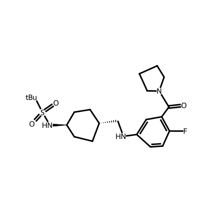 CC(C)(C)S(=O)(=O)N[C@H]1CC[C@H](CNc2ccc(F)c(C(=O)N3CCCC3)c2)CC1